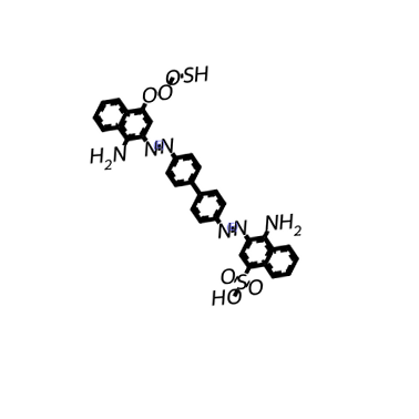 Nc1c(/N=N/c2ccc(-c3ccc(/N=N/c4cc(S(=O)(=O)O)c5ccccc5c4N)cc3)cc2)cc(OOOS)c2ccccc12